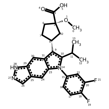 CO[C@@]1(C(=O)O)CC[C@@H](c2c(C(C)C)n(-c3ccc(F)c(F)c3)c3cc4cn[nH]c4cc23)C1